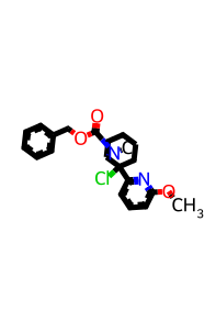 COc1cccc(C2(Cl)CC3CCC2N(C(=O)OCc2ccccc2)C3)n1